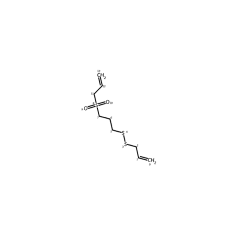 C=CCSSCCCS(=O)(=O)CC=C